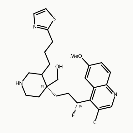 COc1ccc2ncc(Cl)c([C@H](F)CC[C@]3(CO)CCNCC3CCCc3nccs3)c2c1